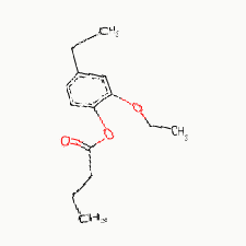 CCCC(=O)Oc1ccc(CC)cc1OCC